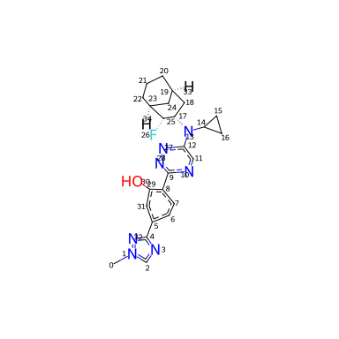 Cn1cnc(-c2ccc(-c3ncc(N(C4CC4)[C@H]4C[C@@H]5CCC[C@@H](C5)[C@H]4F)nn3)c(O)c2)n1